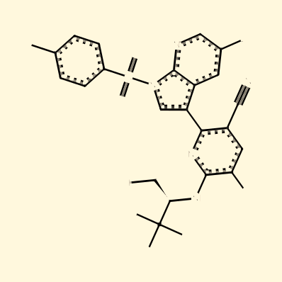 Cc1ccc(S(=O)(=O)n2cc(-c3nc(N[C@H](CI)C(C)(C)C)c(F)cc3C#N)c3cc(F)cnc32)cc1